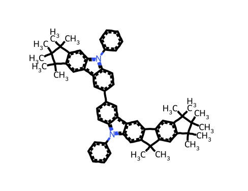 CC1(C)c2cc3c(cc2-c2cc4c5cc(-c6ccc7c(c6)c6cc8c(cc6n7-c6ccccc6)C(C)(C)C(C)(C)C8(C)C)ccc5n(-c5ccccc5)c4cc21)C(C)(C)C(C)(C)C3(C)C